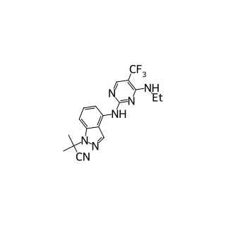 CCNc1nc(Nc2cccc3c2cnn3C(C)(C)C#N)ncc1C(F)(F)F